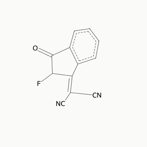 N#CC(C#N)=C1c2ccccc2C(=O)C1F